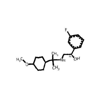 COC1CCC(C(C)(C)NC[C@H](O)c2cccc(F)c2)CC1